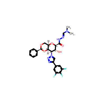 CN(C)/C=N/NC(=O)[C@@H]1O[C@@H]2CO[C@H](c3ccccc3)O[C@@H]2[C@H](n2cc(-c3cc(F)c(F)c(F)c3)nn2)[C@H]1O